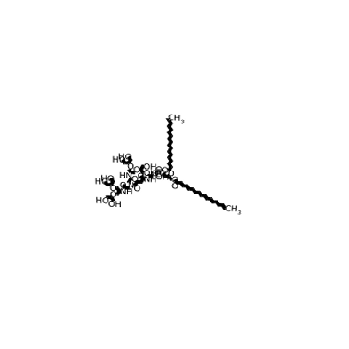 CCCCCCCCCCCCCCCCCC(=O)OCC(COP(=O)(O)OCCNC(=O)CCC(=O)N(CC(=O)NC(COC(CO)CO)COC(CO)CO)CC(=O)NC(COC(CO)CO)COC(CO)CO)OC(=O)CCCCCCCCCCCCCCCCC